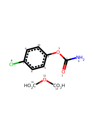 NC(=O)Oc1ccc(Cl)cc1.O=C(O)OC(=O)O